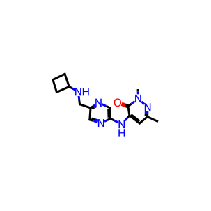 Cc1cc(Nc2cnc(CNC3CCC3)cn2)c(=O)n(C)n1